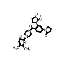 Cc1cc(C)c(N2CCN(C(=O)c3ccc(N4CCCC4=O)cc3N3CCN(C)C3=O)CC2)nc1C